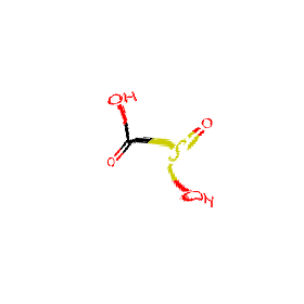 O=C(O)S(=O)O